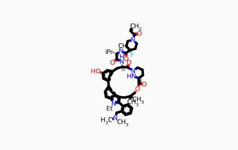 C=CC(=O)N1CCC(F)(C(=O)N(C)[C@H](C(=O)N[C@H]2Cc3cc(O)cc(c3)-c3ccc4c(c3)c(c(-c3ccccc3CN(C)C)n4CC)CC(C)(C)COC(=O)[C@@H]3CCCN(N3)C2=O)C(C)C)CC1